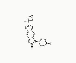 CC1(c2cc3cc4c(c[nH]n4-c4ccc(F)cc4)cc3n2)COC1